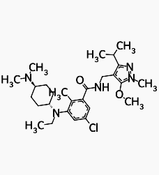 CCN(c1cc(Cl)cc(C(=O)NCc2c(C(C)C)nn(C)c2OC)c1C)[C@H]1CC[C@H](N(C)C)CC1